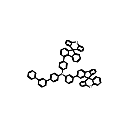 c1ccc(-c2cccc(-c3ccc(N(c4ccc(-c5cccc6c5-c5ccccc5C65c6ccccc6Oc6ccccc65)cc4)c4cccc(-c5ccc6c(c5)C5(c7ccccc7Oc7ccccc75)c5ccccc5-6)c4)cc3)c2)cc1